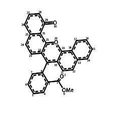 COC(=O)c1ccccc1-c1c2ccc3ccccc3c2oc2c1ccc1cccc(=O)c12